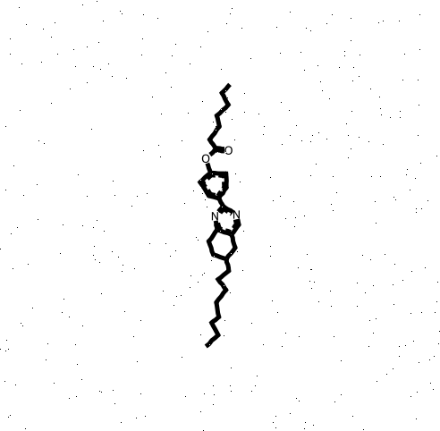 CCCCCCCCC1CCc2nc(-c3ccc(OC(=O)CCCCCC)cc3)ncc2C1